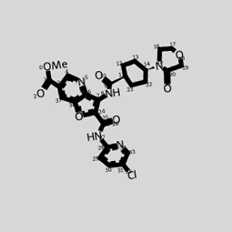 COC(=O)c1cnc2c(NC(=O)[C@H]3CC[C@H](N4CCOCC4=O)CC3)c(C(=O)Nc3ccc(Cl)cn3)oc2c1